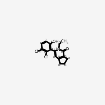 CCn1c(-c2c(O)ccc(Cl)c2Cl)cc2c(c1=O)CCC2